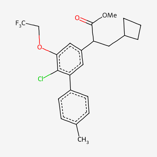 COC(=O)C(CC1CCC1)c1cc(OCC(F)(F)F)c(Cl)c(-c2ccc(C)cc2)c1